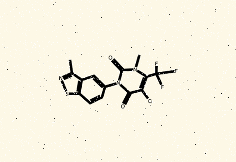 Cc1nsc2ccc(-n3c(=O)c(Cl)c(C(F)(F)F)n(C)c3=O)cc12